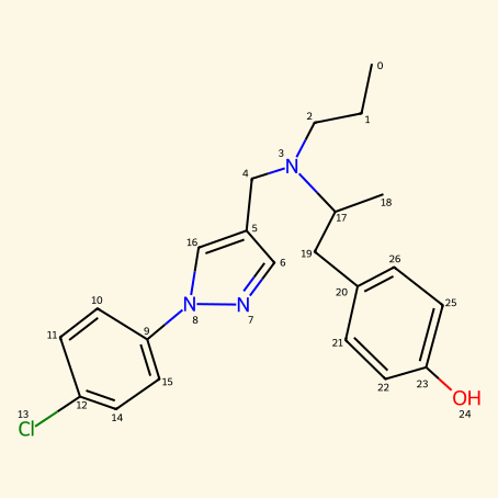 CCCN(Cc1cnn(-c2ccc(Cl)cc2)c1)C(C)Cc1ccc(O)cc1